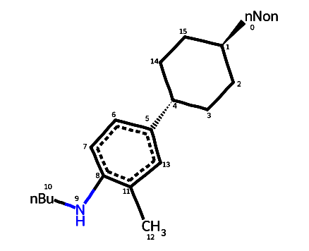 CCCCCCCCC[C@H]1CC[C@H](c2ccc(NCCCC)c(C)c2)CC1